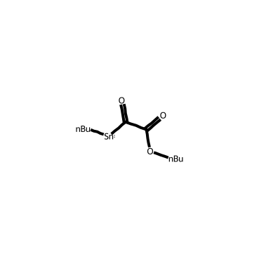 CCCCOC(=O)[C](=O)[Sn][CH2]CCC